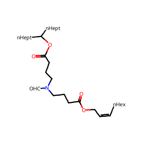 CCCCCC/C=C\COC(=O)CCCN(C=O)CCCC(=O)OC(CCCCCCC)CCCCCCC